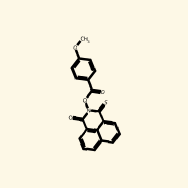 COc1ccc(C(=O)ON2C(=O)c3cccc4cccc(c34)C2=S)cc1